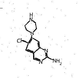 Nc1ncc2cc(Cl)c(N3CCNCC3)cc2n1